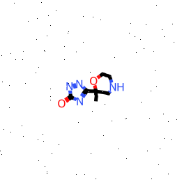 CC1(C2=NC(=O)N=N2)CNCCO1